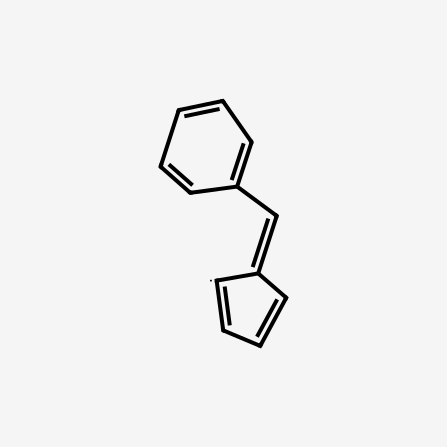 [C]1=CC=CC1=Cc1ccccc1